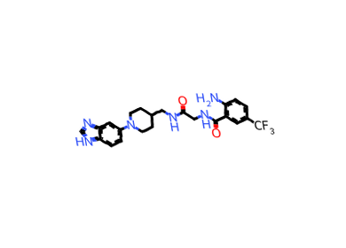 Nc1ccc(C(F)(F)F)cc1C(=O)NCC(=O)NCC1CCN(c2ccc3[nH]cnc3c2)CC1